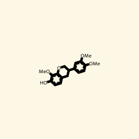 COc1ccc(C2COc3c(ccc(O)c3OC)C2)cc1OC